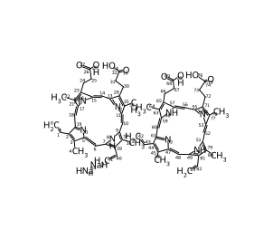 C=CC1=C(C)c2cc3[nH]c(cc4nc(cc5[nH]c(cc1n2)c(C)c5CCC(=O)O)C(CCC(=O)O)=C4C)c(C)c3C=C.C=CC1=C(C)c2cc3[nH]c(cc4nc(cc5[nH]c(cc1n2)c(C)c5CCC(=O)O)C(CCC(=O)O)=C4C)c(C)c3C=C.[NaH].[NaH]